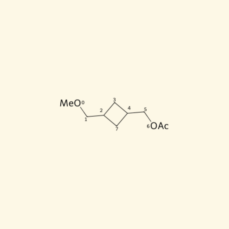 COCC1CC(COC(C)=O)C1